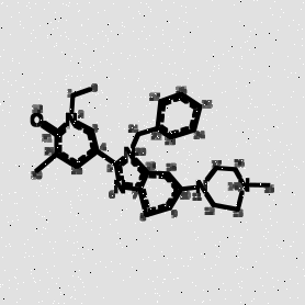 CCn1cc(-c2nc3ccc(N4CCN(C)CC4)cc3n2Cc2ccccc2)cc(C)c1=O